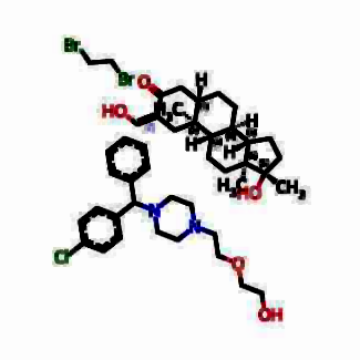 BrCCBr.C[C@]12C/C(=C/O)C(=O)C[C@@H]1CC[C@@H]1[C@@H]2CC[C@@]2(C)[C@H]1CC[C@]2(C)O.OCCOCCN1CCN(C(c2ccccc2)c2ccc(Cl)cc2)CC1